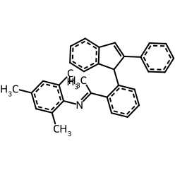 C/C(=N\c1c(C)cc(C)cc1C)c1ccccc1C1C(c2ccccc2)=Cc2ccccc21